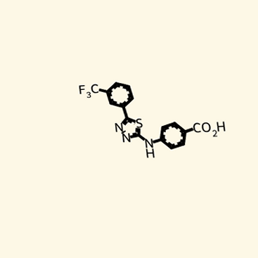 O=C(O)c1ccc(Nc2nnc(-c3cccc(C(F)(F)F)c3)s2)cc1